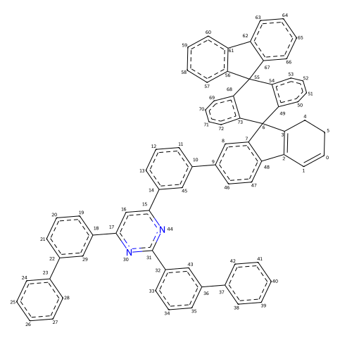 C1=CC2=C(CC1)C1(c3cc(-c4cccc(-c5cc(-c6cccc(-c7ccccc7)c6)nc(-c6cccc(-c7ccccc7)c6)n5)c4)ccc32)c2ccccc2C2(c3ccccc3-c3ccccc32)c2ccccc21